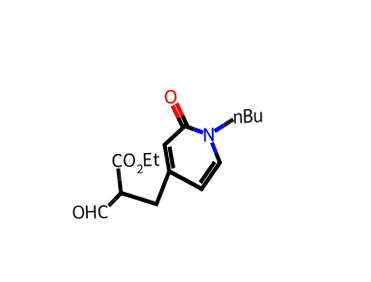 CCCCn1ccc(CC(C=O)C(=O)OCC)cc1=O